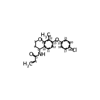 C=CC(=O)NC1CCOc2c1ccc(Oc1ccc(Cl)cc1)c2C